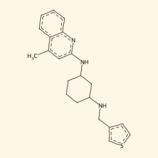 Cc1cc(NC2CCCC(NCc3ccsc3)C2)nc2ccccc12